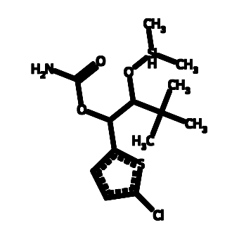 C[SiH](C)OC(C(OC(N)=O)c1ccc(Cl)s1)C(C)(C)C